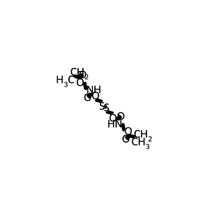 C=C(C)C(=O)OCCNC(=O)OCCSSCCOC(=O)NCCOC(=O)C(=C)C